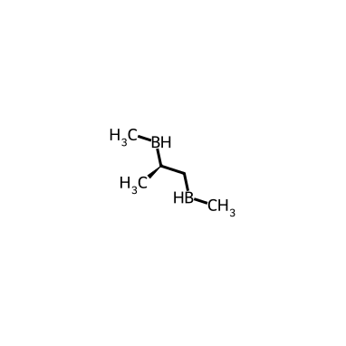 CBC[C@@H](C)BC